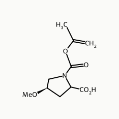 C=C(C)OC(=O)N1C[C@H](OC)CC1C(=O)O